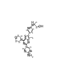 Cc1c(-c2ccc(NC(C)CO)nc2)sc2c(N3CCOCC3)nc(-c3cnc(N)nc3)nc12